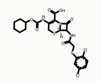 O=C(CSc1cc(Cl)ccc1Cl)NC1C(=O)N2C(C(=O)O)=C(NC(=O)OC3CCCCC3)CS[C@H]12